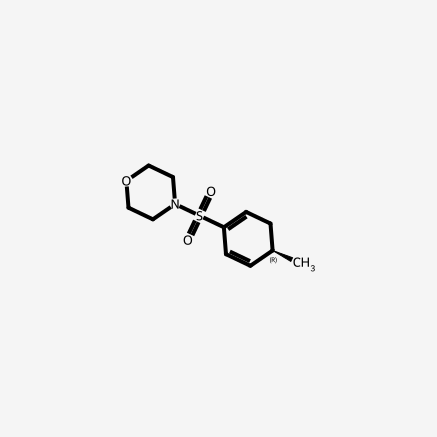 C[C@H]1C=CC(S(=O)(=O)N2CCOCC2)=CC1